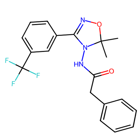 CC1(C)ON=C(c2cccc(C(F)(F)F)c2)N1NC(=O)Cc1ccccc1